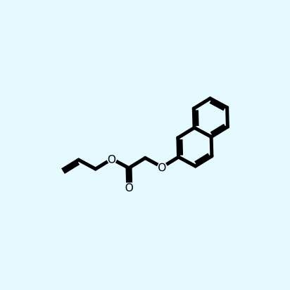 C=CCOC(=O)COc1ccc2ccccc2c1